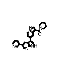 O=C(c1cnn2ccc(-c3c[nH]c4ncc(-c5cccnc5)cc34)cc12)N1CCCCC1